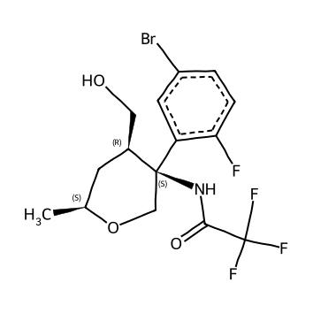 C[C@H]1C[C@@H](CO)[C@](NC(=O)C(F)(F)F)(c2cc(Br)ccc2F)CO1